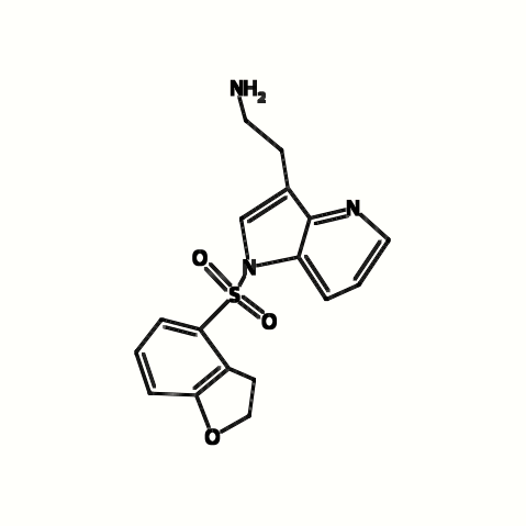 NCCc1cn(S(=O)(=O)c2cccc3c2CCO3)c2cccnc12